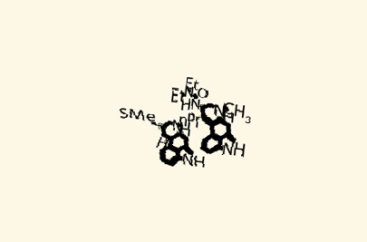 CCCN1C[C@H](CSC)C[C@@H]2c3cccc4[nH]cc(c34)C[C@H]21.CCN(CC)C(=O)N[C@H]1C=C2c3cccc4[nH]cc(c34)C[C@H]2N(C)C1